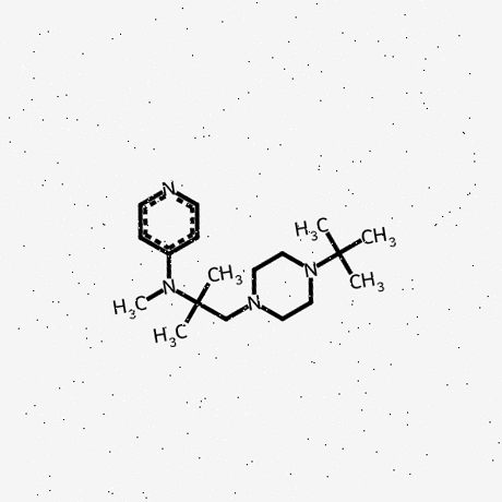 CN(c1ccncc1)C(C)(C)CN1CCN(C(C)(C)C)CC1